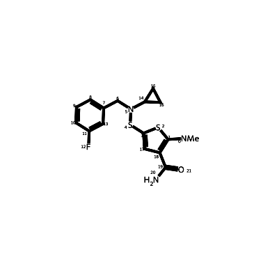 CNc1sc(SN(Cc2cccc(F)c2)C2CC2)cc1C(N)=O